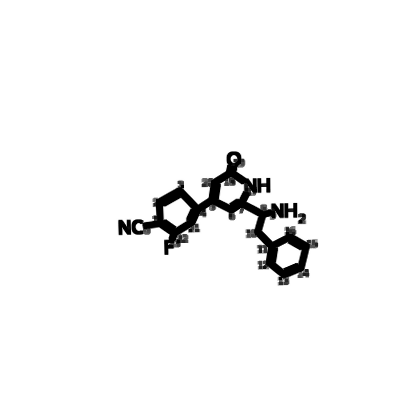 N#Cc1ccc(-c2cc(C(N)Cc3ccccc3)[nH]c(=O)c2)cc1F